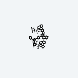 CC1(C)c2ccccc2-c2ccc(-c3cc(-c4ccc(-c5cc(-c6ccccc6)nc(-c6ccccc6)n5)cc4)c4cc(-c5ccc6c(c5)C(C)(C)c5ccccc5-6)c5ccccc5c4n3)cc21